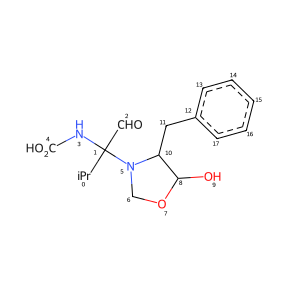 CC(C)C(C=O)(NC(=O)O)N1COC(O)C1Cc1ccccc1